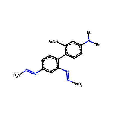 CCN(CC)c1ccc(-c2ccc(N=N[N+](=O)[O-])cc2N=N[N+](=O)[O-])c(NC(C)=O)c1